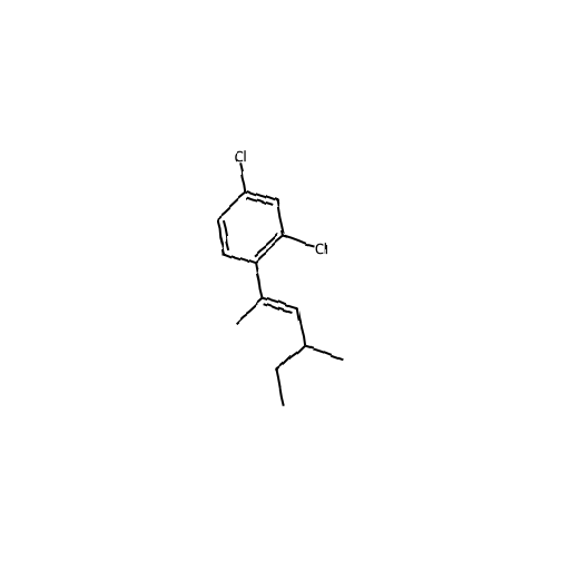 CCC(C)C=C(C)c1ccc(Cl)cc1Cl